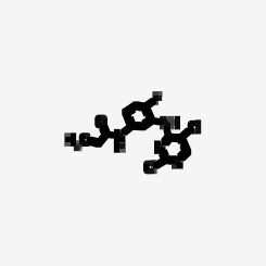 C=CC(=O)Nc1ccc(F)c(Nc2nc(Cl)ncc2Cl)c1